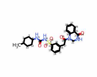 CC1CCC(NC(=O)NS(=O)(=O)c2cccc(CC(=O)N3CNC(=O)c4ccccc43)c2)CC1